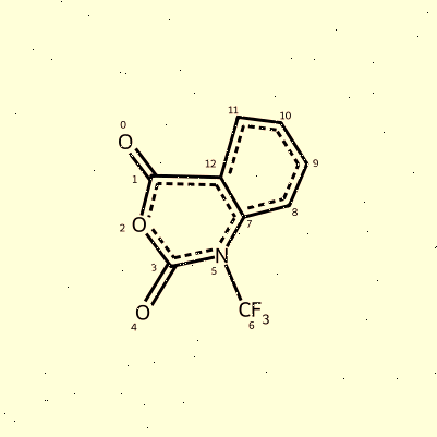 O=c1oc(=O)n(C(F)(F)F)c2ccccc12